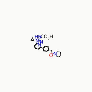 C1CC1.O=C(O)Nc1nc2cccc(-c3ccc(CC(=O)N4CCCCC4)cc3)n2n1